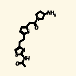 CC(=O)Nc1nc(CCc2ccc(CC(=O)N3CCC(N)C3)s2)cs1